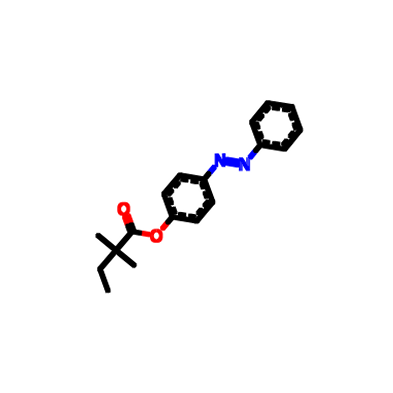 CCC(C)(C)C(=O)Oc1ccc(/N=N/c2ccccc2)cc1